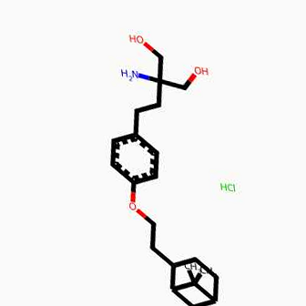 CC1(C)C2CCC(CCOc3ccc(CCC(N)(CO)CO)cc3)C1C2.Cl